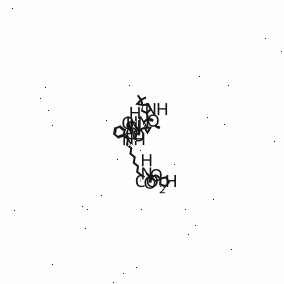 C=C[C@@H]1C[C@]1(NC(=O)C1C[C@@]2(CN1)CC2(C)C)C(=O)NS(=O)(=O)c1ccccc1NCCCCCCC[C@H](NC(=O)OC1CCCC1)C(=O)O